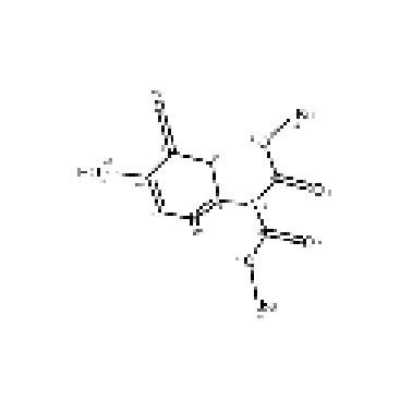 CC(C)(C)OC(=O)N(C(=O)OC(C)(C)C)C1=NC=C(C(=O)O)C(=O)C1